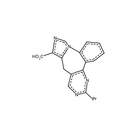 CC(C)c1ncc2c(n1)-c1ccccc1-n1cnc(C(=O)O)c1C2